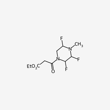 CCOC(=O)CC(=O)N1CC(F)N(C)C(F)C1F